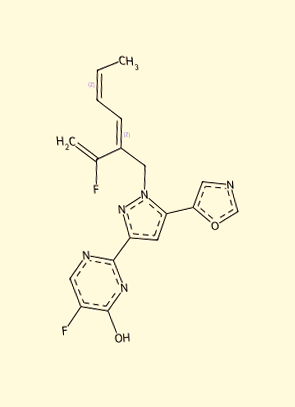 C=C(F)/C(=C\C=C/C)Cn1nc(-c2ncc(F)c(O)n2)cc1-c1cnco1